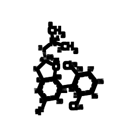 CN(C)C[C@H]1Cc2cc(F)cc(-c3c(Cl)cccc3Cl)c2O1